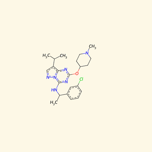 CC(C)c1cnn2c(NC(C)c3cccc(Cl)c3)nc(OC3CCN(C)CC3)nc12